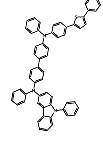 c1ccc(-c2ccc(-c3ccc(N(c4ccccc4)c4ccc(-c5ccc(N(c6ccccc6)c6ccc7c(c6)c6ccccc6n7-c6ccccc6)cc5)cc4)cc3)s2)cc1